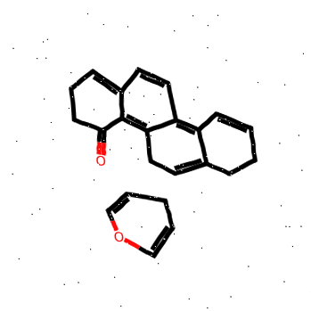 C1=COC=CC1.O=C1CCC=c2ccc3c(c21)CC=C1CCC=CC=31